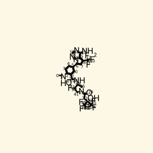 CNc1ccc(-c2cc(C(F)(F)F)c3c(N)ncnn23)cc1C(=O)N[C@@H]1CN(C(=O)CC(O)(C(F)(F)F)C(F)(F)F)C[C@@H]1F